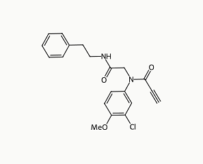 C#CC(=O)N(CC(=O)NCCc1ccccc1)c1ccc(OC)c(Cl)c1